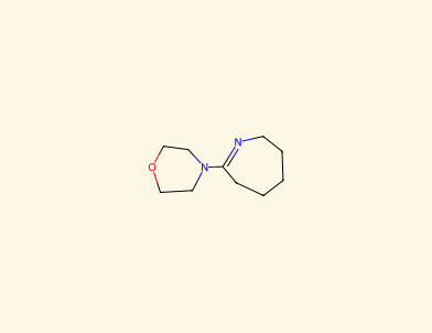 C1CCN=C(N2CCOCC2)CC1